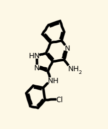 Nc1nc2ccccc2c2[nH]nc(Nc3ccccc3Cl)c12